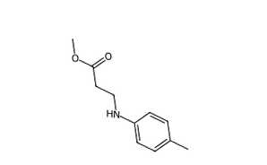 COC(=O)CCNc1ccc(C)cc1